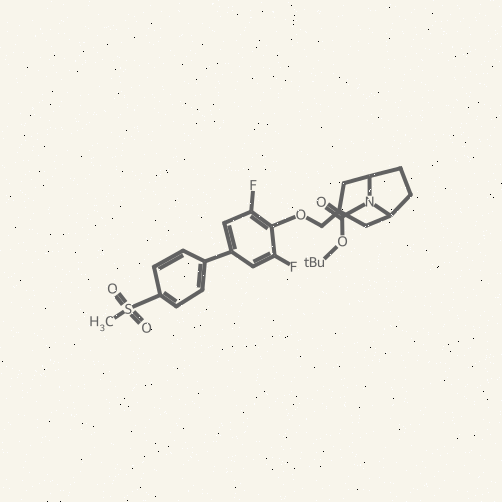 CC(C)(C)OC(=O)N1C2CCC1CC(COc1c(F)cc(-c3ccc(S(C)(=O)=O)cc3)cc1F)C2